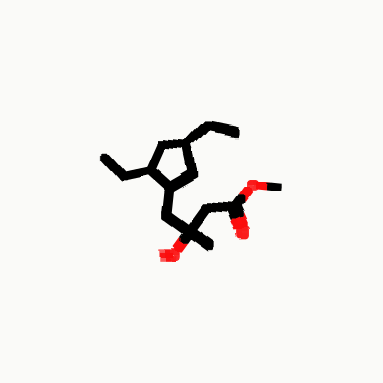 CCC1CC(CC)C(CC(C)(O)CC(=O)OC)C1